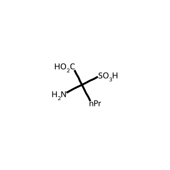 CCCC(N)(C(=O)O)S(=O)(=O)O